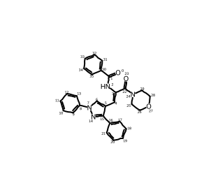 O=C(N/C(=C\c1cn(-c2ccccc2)nc1-c1ccccc1)C(=O)N1CCOCC1)c1ccccc1